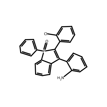 Nc1ccccc1C1=C(c2ccccc2Cl)P(=O)(c2ccccc2)c2ccccc21